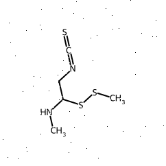 CNC(CN=C=S)SSC